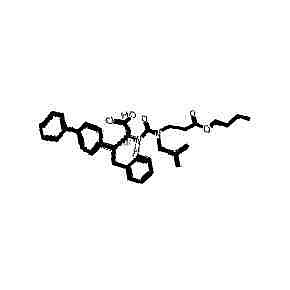 CCCCOC(=O)CCN(CC(C)C)C(=O)N[C@H](C(=O)O)C(Cc1ccccc1)c1ccc(-c2ccccc2)cc1